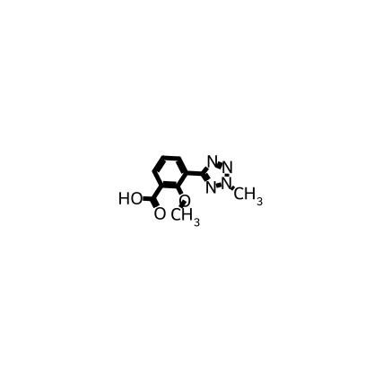 COc1c(C(=O)O)cccc1-c1nnn(C)n1